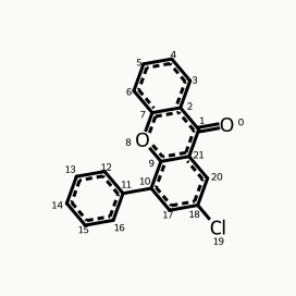 O=c1c2ccccc2oc2c(-c3ccccc3)cc(Cl)cc12